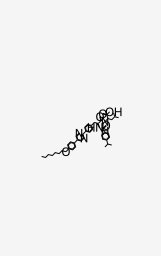 CCCCCCCOc1ccc(-c2cnc(-c3ccc(CC(NC(=O)c4ccc(C(C)C)cc4)C(=O)NC(CC(C)C)C(=O)O)cc3)nc2)cc1